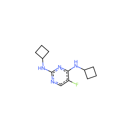 Fc1cnc(NC2CCC2)nc1NC1CCC1